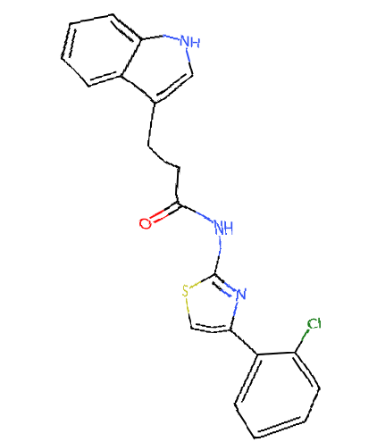 O=C(CCc1c[nH]c2ccccc12)Nc1nc(-c2ccccc2Cl)cs1